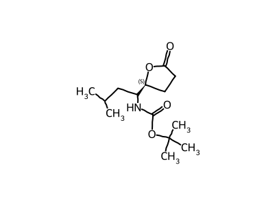 CC(C)CC(NC(=O)OC(C)(C)C)[C@@H]1CCC(=O)O1